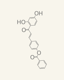 O=C(Oc1ccc(C=CC(=O)c2ccc(O)cc2O)cc1)c1ccccc1